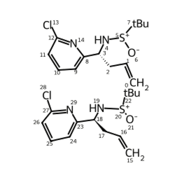 C=CC[C@@H](N[S+]([O-])C(C)(C)C)c1cccc(Cl)n1.C=CC[C@H](N[S+]([O-])C(C)(C)C)c1cccc(Cl)n1